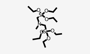 CCO[Si](CN(C)C[Si](OCC)(OCC)OCC)(OCC)OCC